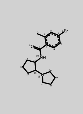 Cc1cc(Br)ccc1C(=O)NC1CCCC1N1CCCC1